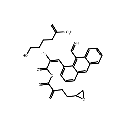 C=C(CCC1CO1)C(=O)OC(=O)C(=Cc1cccc2cc3ccccc3c(C=N)c12)CCC.C=C(CCCCO)C(=O)O